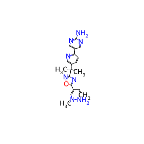 C=C/C(=C\N(C)N)c1nc(C(C)(C)c2ccc(-c3cnc(N)nc3)nc2)no1